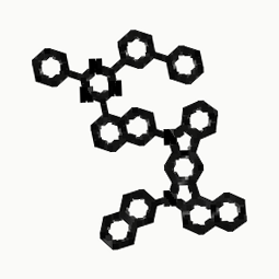 c1ccc(-c2cccc(-c3nc(-c4ccccc4)nc(-c4cccc5cc(-n6c7ccccc7c7cc8c9c%10ccccc%10ccc9n(-c9ccc%10ccccc%10c9)c8cc76)ccc45)n3)c2)cc1